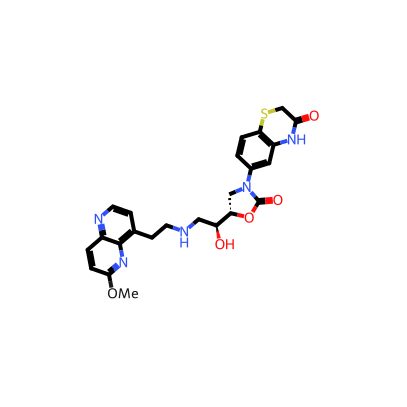 COc1ccc2nccc(CCNC[C@H](O)[C@@H]3CN(c4ccc5c(c4)NC(=O)CS5)C(=O)O3)c2n1